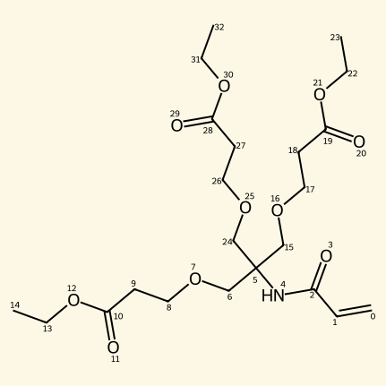 C=CC(=O)NC(COCCC(=O)OCC)(COCCC(=O)OCC)COCCC(=O)OCC